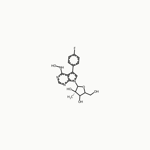 C[C@@]1(O)C(O)C(CO)OC1n1cc(-c2ccc(F)cc2)c2c(NO)ncnc21